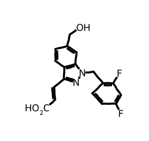 O=C(O)/C=C/c1nn(Cc2ccc(F)cc2F)c2cc(CO)ccc12